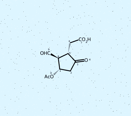 CC(=O)O[C@H]1CC(=O)[C@@H](CC(=O)O)[C@@H]1C=O